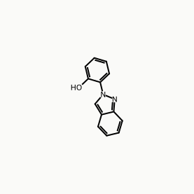 Oc1ccccc1-n1cc2ccccc2n1